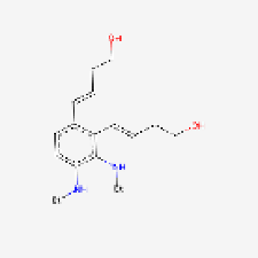 CCNc1ccc(C=CCCO)c(C=CCCO)c1NCC